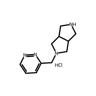 Cl.c1cnnc(CN2CC3CNCC3C2)c1